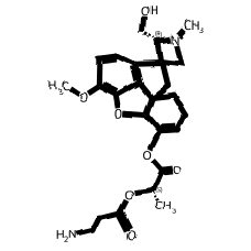 COc1ccc2c3c1OC1C(OC(=O)[C@H](C)OC(=O)CCN)=CCCC31CC21CN(C)[C@H]1CO